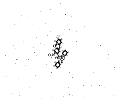 O=C(NP(=O)(Oc1ccccc1)Oc1ccccc1)c1cc(Oc2ccc(C(F)(F)F)cc2Cl)ccc1[N+](=O)[O-]